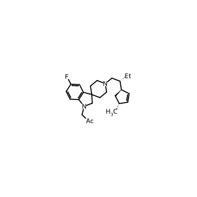 CC[C@@H](CN1CCC2(CC1)CN(CC(C)=O)c1ccc(F)cc12)[C@H]1C=C[C@H](C)C1